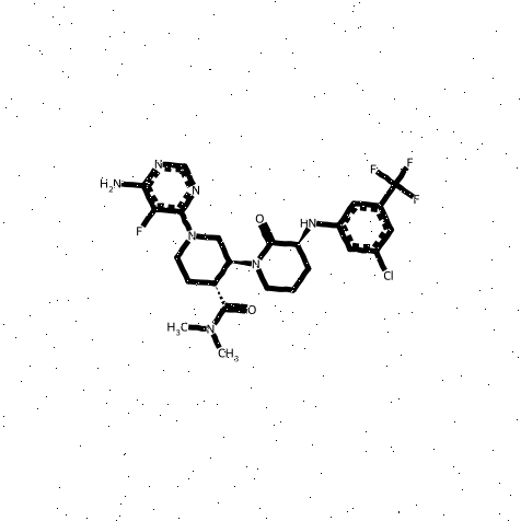 CN(C)C(=O)[C@@H]1CCN(c2ncnc(N)c2F)C[C@H]1N1CCC[C@H](Nc2cc(Cl)cc(C(F)(F)F)c2)C1=O